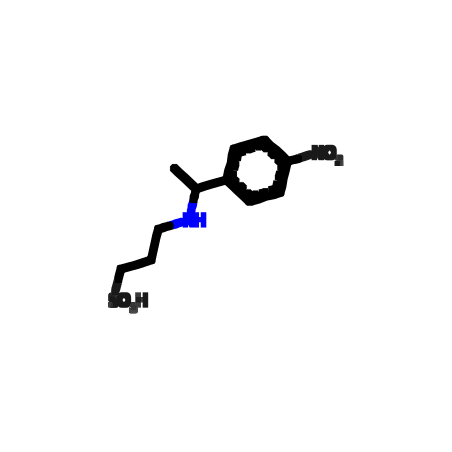 CC(NCCCS(=O)(=O)O)c1ccc([N+](=O)[O-])cc1